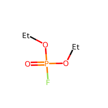 CCOP(=O)(F)OCC